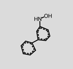 ONc1cccc(-c2ccccc2)c1